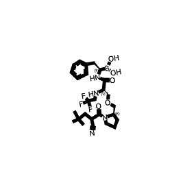 CC(C)(C)CC(C#N)C(=O)N1CCC[C@@H]1COC[C@H](NCC(F)(F)F)C(=O)N[C@@H](Cc1ccccc1)B(O)O